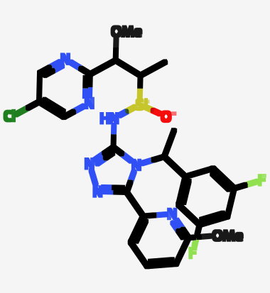 COc1cccc(-c2nnc(N[S+]([O-])C(C)C(OC)c3ncc(Cl)cn3)n2C(C)c2cc(F)cc(F)c2)n1